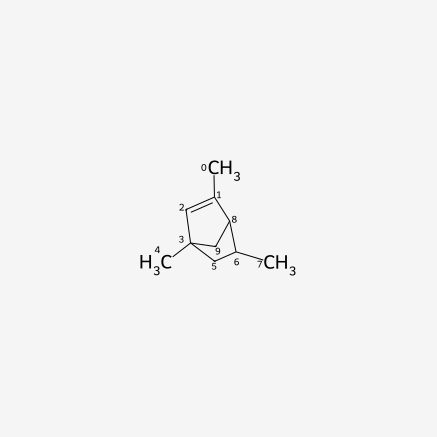 CC1=CC2(C)CC(C)C1C2